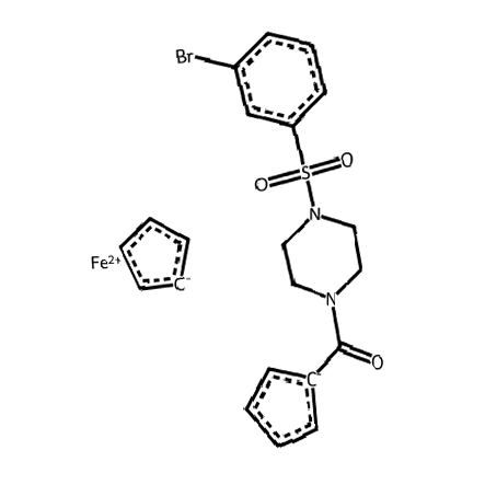 O=C([c-]1cccc1)N1CCN(S(=O)(=O)c2cccc(Br)c2)CC1.[Fe+2].c1cc[cH-]c1